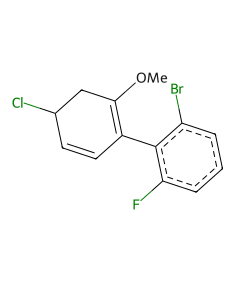 COC1=C(c2c(F)cccc2Br)C=CC(Cl)C1